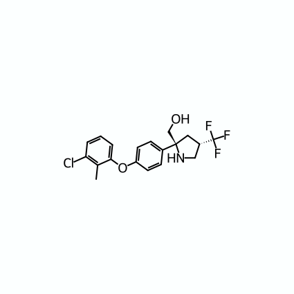 Cc1c(Cl)cccc1Oc1ccc([C@]2(CO)C[C@H](C(F)(F)F)CN2)cc1